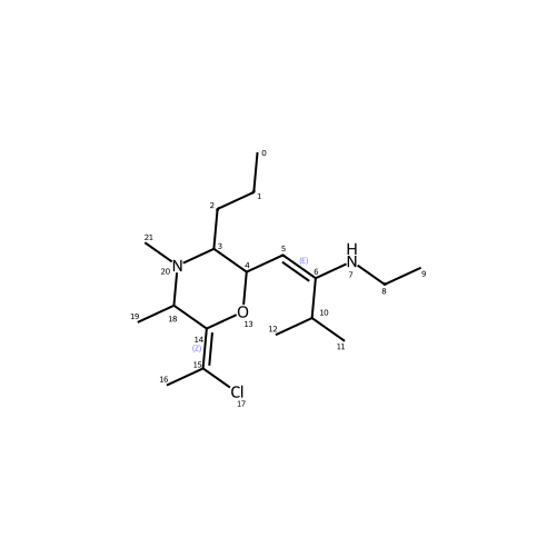 CCCC1C(/C=C(/NCC)C(C)C)O/C(=C(/C)Cl)C(C)N1C